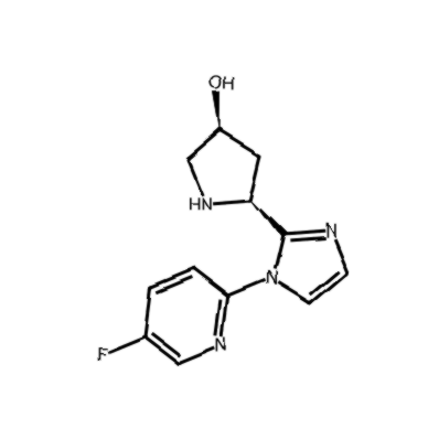 O[C@@H]1CN[C@H](c2nccn2-c2ccc(F)cn2)C1